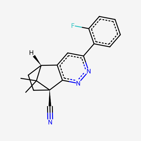 CC1(C)[C@@H]2CC[C@@]1(C#N)c1nnc(-c3ccccc3F)cc12